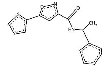 CC(NC(=O)c1cc(-c2cccs2)on1)c1ccccc1